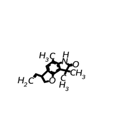 C=CC1COc2c1cc(C)c1c2C(C)(C)C(=O)N1